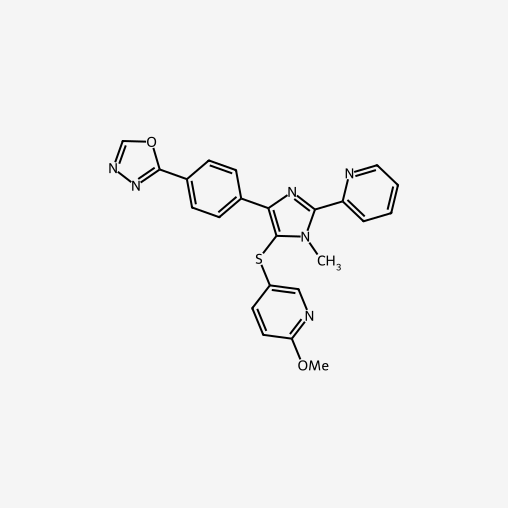 COc1ccc(Sc2c(-c3ccc(-c4nnco4)cc3)nc(-c3ccccn3)n2C)cn1